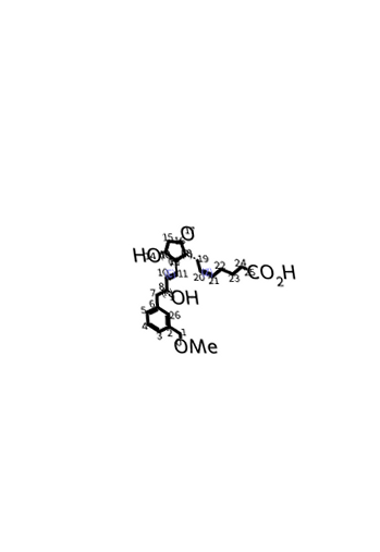 COCc1cccc(C[C@@H](O)/C=C/[C@H]2[C@H](O)CC(=O)[C@@H]2C/C=C\CCCC(=O)O)c1